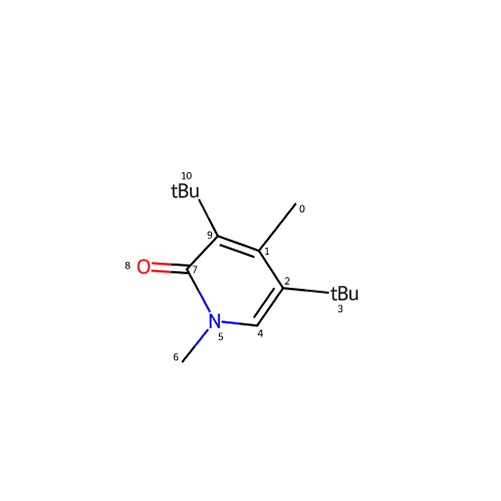 Cc1c(C(C)(C)C)cn(C)c(=O)c1C(C)(C)C